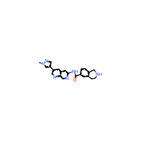 Cn1cc(-c2cnc3cnc(NC(=O)c4ccc5c(c4)CCNC5)cc3c2)cn1